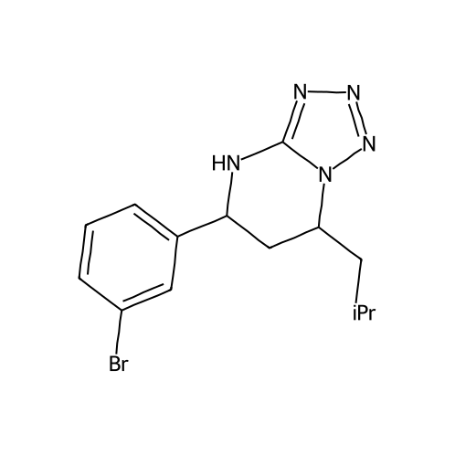 CC(C)CC1CC(c2cccc(Br)c2)Nc2nnnn21